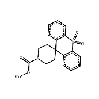 CC(C)(C)OC(=O)N1CCC2(CC1)c1ccccc1S(=O)(=O)c1ccccc12